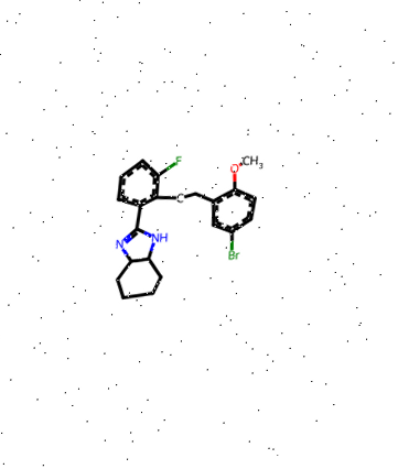 COc1ccc(Br)cc1CCc1c(F)cccc1C1=NC2CCCCC2N1